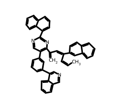 C=C(/C=C(\C=C/C)c1ccc2ccccc2c1)c1nc(-c2cccc3ccccc23)ncc1-c1cccc(-c2cncc3ccccc23)c1